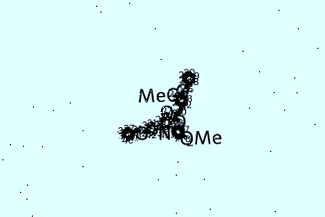 COc1ccc([C@H]2C(C(=O)/C=C/c3ccc(OCc4ccccc4)c(OC)c3)C(=O)C[C@H](C3C=CC(OCc4ccccc4)=CC3)[C@@H]2[N+](=O)[O-])cc1